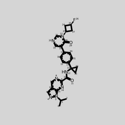 CC(C)n1ncc2cnc(C(=O)NC3(c4ccc(-c5cncn([C@H]6C[C@@H](F)C6)c5=O)cc4)CC3)nc21